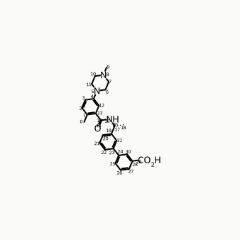 Cc1ccc(N2CCN(C)CC2)cc1C(=O)N[C@H](C)c1cccc(-c2cccc(C(=O)O)c2)c1